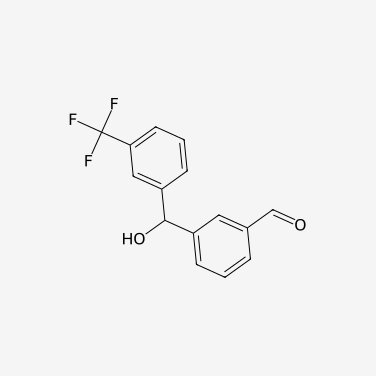 O=Cc1cccc(C(O)c2cccc(C(F)(F)F)c2)c1